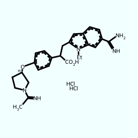 CCn1c(CC(C(=O)O)c2ccc(O[C@@H]3CCN(C(C)=N)C3)cc2)cc2ccc(C(=N)N)cc21.Cl.Cl